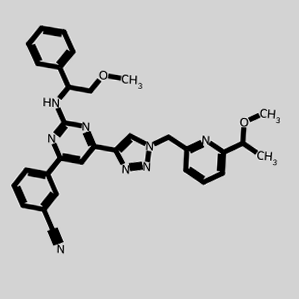 COCC(Nc1nc(-c2cccc(C#N)c2)cc(-c2cn(Cc3cccc(C(C)OC)n3)nn2)n1)c1ccccc1